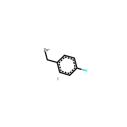 Fc1ccc([CH2][Zn+])cc1.[I-]